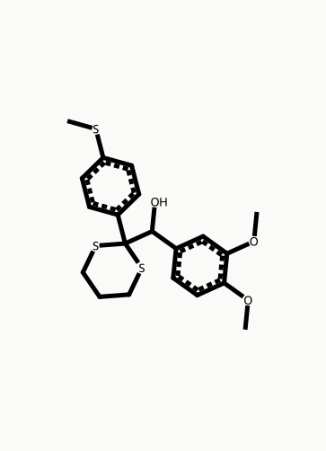 COc1ccc(C(O)C2(c3ccc(SC)cc3)SCCCS2)cc1OC